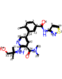 Cc1ccc(C(=O)Nc2ccsn2)cc1-c1cnc(NC(C)(C)CO)c(C(=O)N(C)C)c1